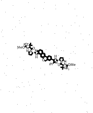 COC(=O)N[C@H](C(=O)N1[C@@H](C)CC[C@H]1c1nc(C(C)C)c(-c2ccc3c(c2)COc2cc4c(ccc5nc([C@@H]6CC[C@H](C)N6C(=O)[C@@H](NC(=O)OC)C(C)(C)C(F)(F)F)[nH]c54)cc2-3)[nH]1)C(C)(C)C(F)(F)F